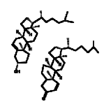 CC(C)CCC[C@@H](C)[C@H]1CC[C@H]2[C@@H]3CC=C4C[C@@H](O)CC[C@]4(C)[C@H]3CC[C@]12C.CC(C)CCC[C@@H](C)[C@H]1CC[C@H]2[C@@H]3CCC4CC(=O)C=C[C@]4(C)[C@H]3CC[C@]12C